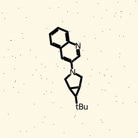 CC(C)(C)C1C2CN(c3cnc4ccccc4c3)CC21